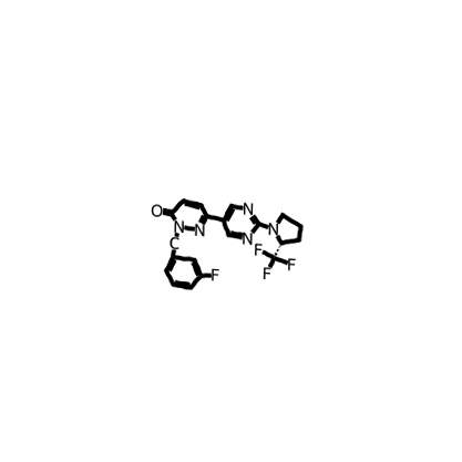 O=c1ccc(-c2cnc(N3CCC[C@@H]3C(F)(F)F)nc2)nn1Cc1cccc(F)c1